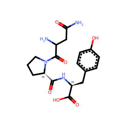 NC(=O)CC(N)C(=O)N1CCC[C@H]1C(=O)N[C@@H](Cc1ccc(O)cc1)C(=O)O